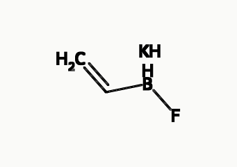 C=CBF.[KH]